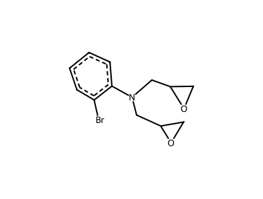 Brc1ccccc1N(CC1CO1)CC1CO1